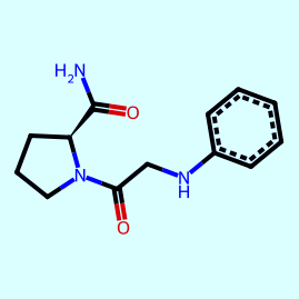 NC(=O)[C@@H]1CCCN1C(=O)CNc1ccccc1